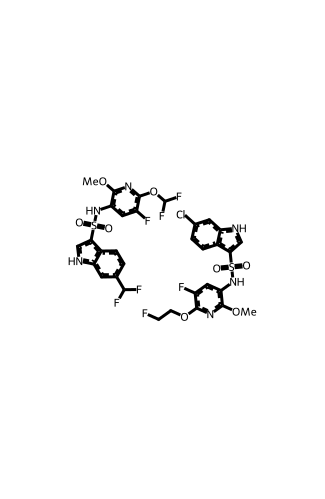 COc1nc(OC(F)F)c(F)cc1NS(=O)(=O)c1c[nH]c2cc(C(F)F)ccc12.COc1nc(OCCF)c(F)cc1NS(=O)(=O)c1c[nH]c2cc(Cl)ccc12